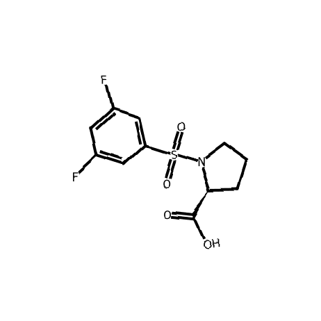 O=C(O)[C@@H]1CCCN1S(=O)(=O)c1cc(F)cc(F)c1